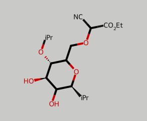 CCOC(=O)C(C#N)OCC1O[C@@H](C(C)C)C(O)[C@@H](O)[C@@H]1OC(C)C